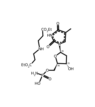 CCOC(=O)CCNCCC(=O)OCC.Cc1cn([C@H]2C[C@H](O)[C@@H](COP(N)(=O)O)O2)c(=O)[nH]c1=O